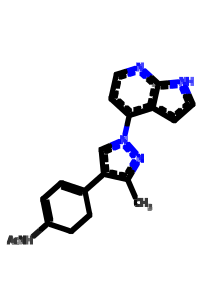 CC(=O)NC1=CC=C(c2cn(-c3ccnc4[nH]ccc34)nc2C)CC1